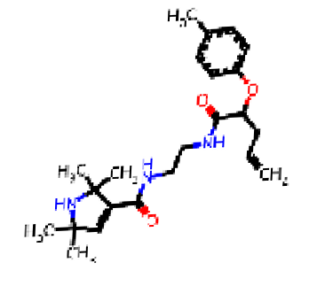 C=CCC(Oc1ccc(C)cc1)C(=O)NCCNC(=O)C1=CC(C)(C)NC1(C)C